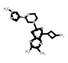 Cc1nc2cc(N3CCO[C@H](c4cnn(C)c4)C3)nc(C3CC(C(F)(F)F)C3)c2nc1C